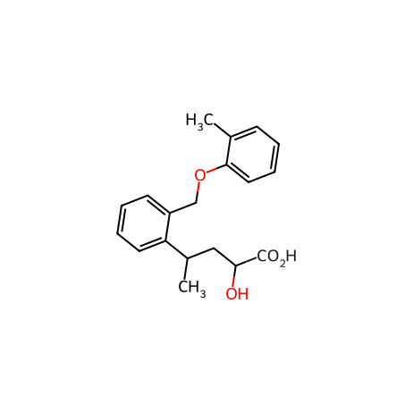 Cc1ccccc1OCc1ccccc1C(C)CC(O)C(=O)O